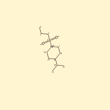 CCCS(=O)(=O)N1CCC(C(C)C)CC1